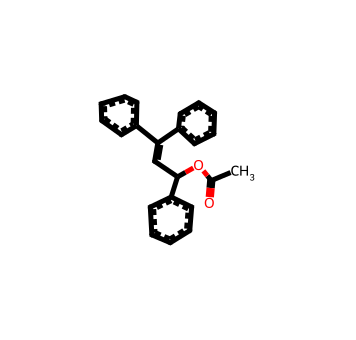 CC(=O)OC(C=C(c1ccccc1)c1ccccc1)c1ccccc1